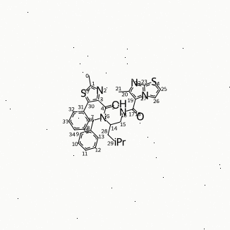 Cc1nc(C(=O)N(Cc2ccccc2)C(CNC(=O)c2c(C)nc3sccn23)CC(C)C)c(-c2ccccc2)s1